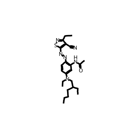 CCCCC(CC)CN(CC)c1ccc(/N=N/c2snc(CC)c2C#N)c(NC(C)=O)c1